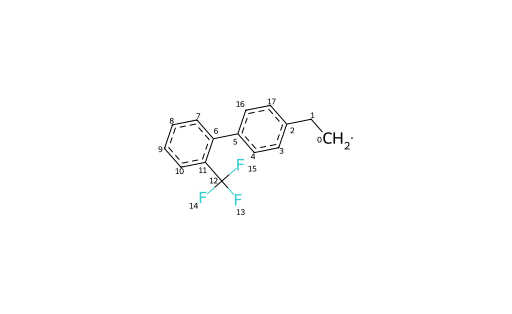 [CH2]Cc1ccc(-c2ccccc2C(F)(F)F)cc1